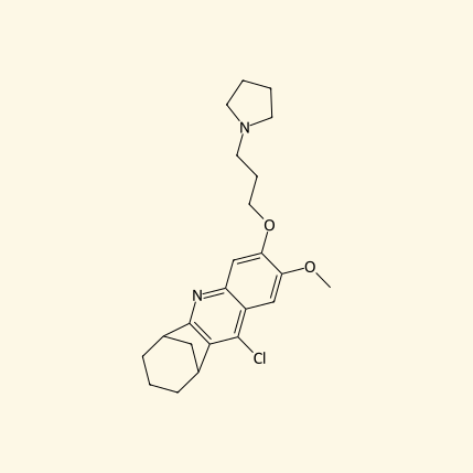 COc1cc2c(Cl)c3c(nc2cc1OCCCN1CCCC1)C1CCCC3C1